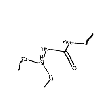 CCNC(=O)N[SiH](OC)OC